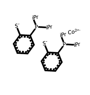 CC(C)P(c1ccccc1[S-])C(C)C.CC(C)P(c1ccccc1[S-])C(C)C.[Co+2]